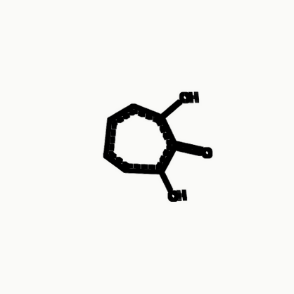 O=c1c(O)ccccc1O